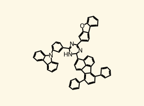 c1ccc(-c2ccc(-c3ccccc3)c3c2-c2cccc4c(C5N=C(c6ccc7c(c6)oc6ccccc67)N=C(c6cccc(-n7c8ccccc8c8ccccc87)c6)N5)ccc-3c24)cc1